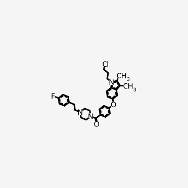 Cc1c(C)n(CCCCl)c2ccc(Oc3ccc(C(=O)N4CCN(CCc5ccc(F)cc5)CC4)cc3)cc12